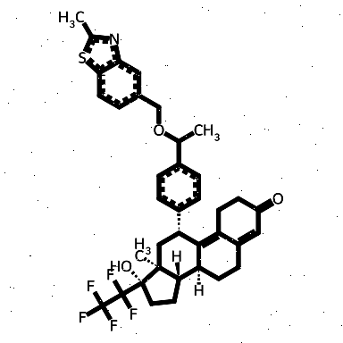 Cc1nc2cc(COC(C)c3ccc([C@H]4C[C@@]5(C)[C@@H](CC[C@@]5(O)C(F)(F)C(F)(F)F)[C@@H]5CCC6=CC(=O)CCC6=C54)cc3)ccc2s1